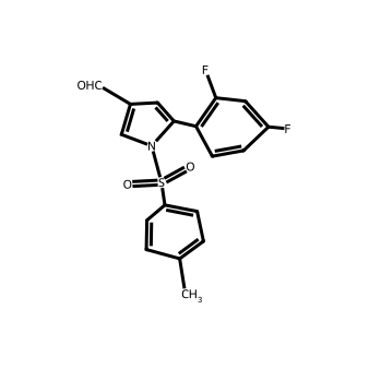 Cc1ccc(S(=O)(=O)n2cc(C=O)cc2-c2ccc(F)cc2F)cc1